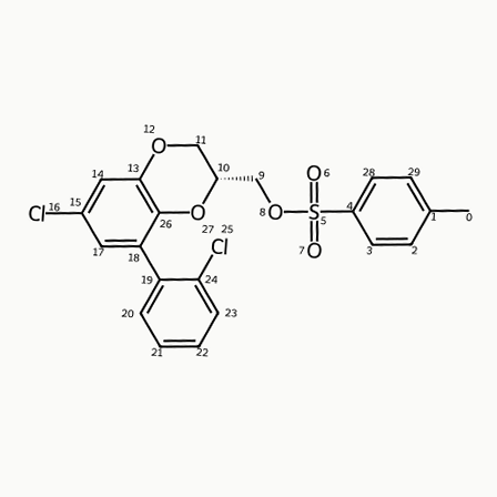 Cc1ccc(S(=O)(=O)OC[C@H]2COc3cc(Cl)cc(-c4ccccc4Cl)c3O2)cc1